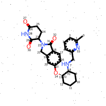 Cc1cccc(CN[C@H]2CCCC[C@@H]2Oc2ccc3c(c2)CN(C2CCC(=O)NC2=O)C3=O)n1